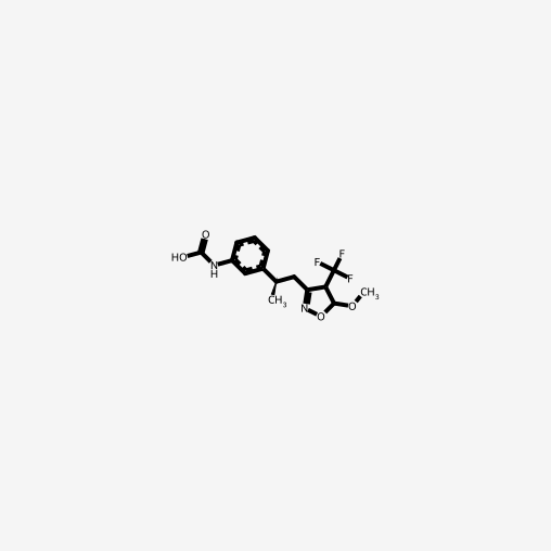 COC1ON=C(C[C@@H](C)c2cccc(NC(=O)O)c2)C1C(F)(F)F